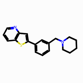 [c]1ccnc2cc(-c3cccc(CN4CCCCC4)c3)sc12